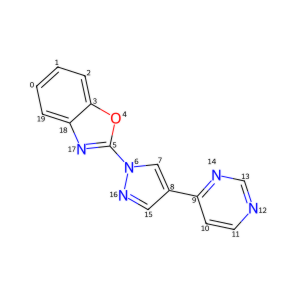 c1ccc2oc(-n3cc(-c4ccncn4)cn3)nc2c1